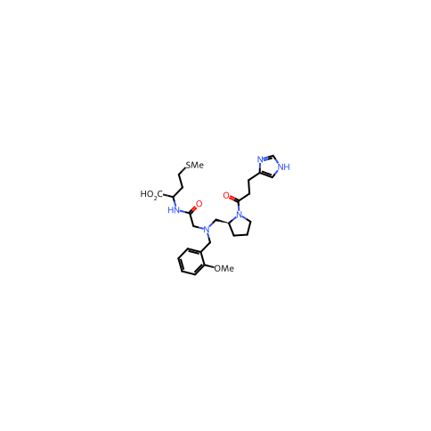 COc1ccccc1CN(CC(=O)NC(CCSC)C(=O)O)C[C@@H]1CCCN1C(=O)CCc1c[nH]cn1